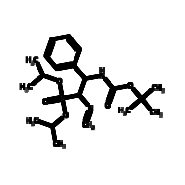 C=NC(C(NC(=O)OC(C)(C)C)c1ccccc1)P(=O)(OC(C)C)OC(C)C